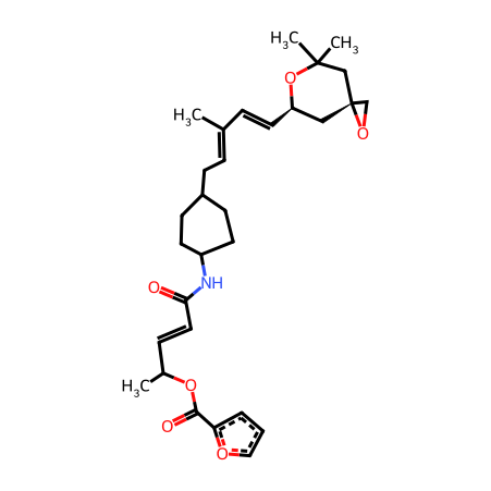 CC(C=C[C@@H]1C[C@]2(CO2)CC(C)(C)O1)=CCC1CCC(NC(=O)C=CC(C)OC(=O)c2ccco2)CC1